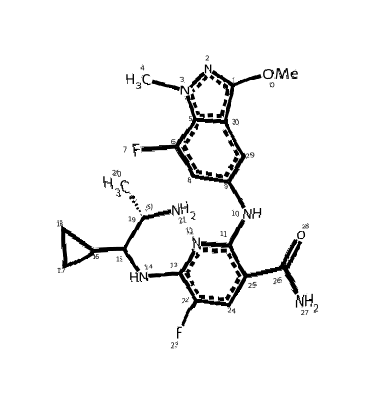 COc1nn(C)c2c(F)cc(Nc3nc(NC(C4CC4)[C@H](C)N)c(F)cc3C(N)=O)cc12